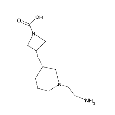 NCCN1CCCC(C2CN(C(=O)O)C2)C1